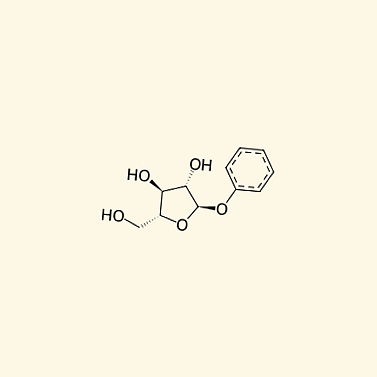 OC[C@H]1O[C@H](Oc2ccccc2)[C@@H](O)[C@@H]1O